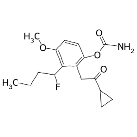 CCCC(F)c1c(OC)ccc(OC(N)=O)c1CC(=O)C1CC1